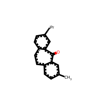 Cc1ccc2ccc3ccc(C(C)C)cc3c(=O)c2c1